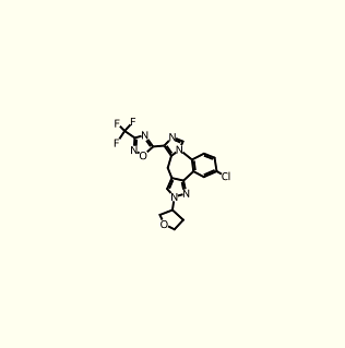 FC(F)(F)c1noc(-c2ncn3c2Cc2cn(C4CCOC4)nc2-c2cc(Cl)ccc2-3)n1